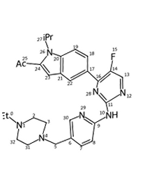 CCN1CCN(Cc2ccc(Nc3ncc(F)c(-c4ccc5c(c4)cc(C(C)=O)n5C(C)C)n3)nc2)CC1